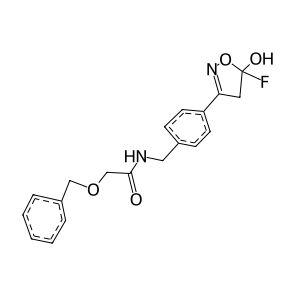 O=C(COCc1ccccc1)NCc1ccc(C2=NOC(O)(F)C2)cc1